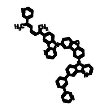 C=C(/C=C\C=C(/C)c1cccnc1)c1ccc2c(c1)c1ncccc1n2-c1ccc2oc3ccc(-n4c5ccc(-c6cccc(-c7cccnc7)c6)cc5c5ncccc54)cc3c2c1